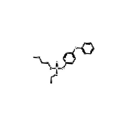 CCCCSP(=O)(OCC)Oc1ccc(Sc2ccccc2)cc1